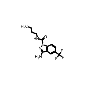 CCCCNC(=O)n1nc(N)c2cc(C(F)(F)F)ccc21